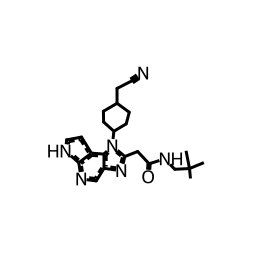 CC(C)(C)CNC(=O)Cc1nc2cnc3[nH]ccc3c2n1C1CCC(CC#N)CC1